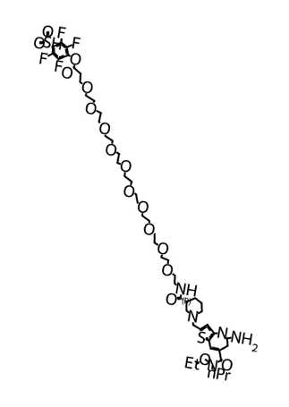 CCCN(OCC)C(=O)C1=Cc2sc(CN3CCC[C@@H](C(=O)NCCOCCOCCOCCOCCOCCOCCOCCOCCOCCOCCC(=O)Oc4c(F)c(F)c([SH](=O)=O)c(F)c4F)C3)cc2N=C(N)C1